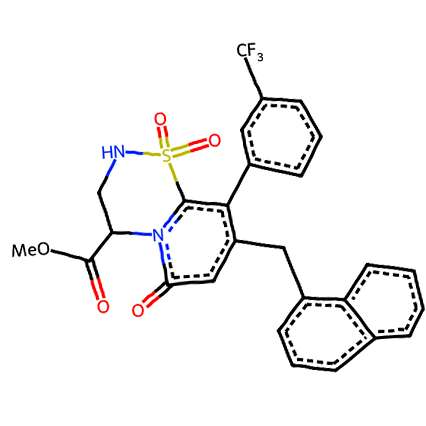 COC(=O)C1CNS(=O)(=O)c2c(-c3cccc(C(F)(F)F)c3)c(Cc3cccc4ccccc34)cc(=O)n21